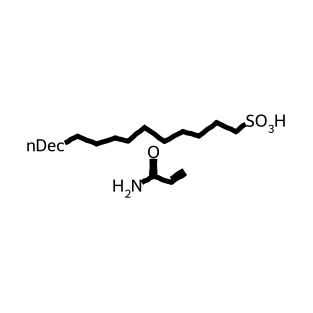 C=CC(N)=O.CCCCCCCCCCCCCCCCCCCCS(=O)(=O)O